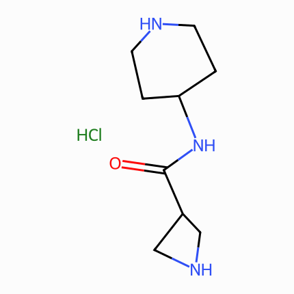 Cl.O=C(NC1CCNCC1)C1CNC1